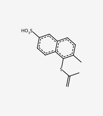 C=C(C)Sc1c(C)ccc2cc(S(=O)(=O)O)ccc12